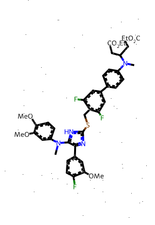 CCOC(=O)CC(CC(=O)OCC)N(C)c1ccc(-c2cc(F)c(CSc3nc(-c4ccc(F)c(OC)c4)c(N(C)c4ccc(OC)c(OC)c4)[nH]3)c(F)c2)cc1